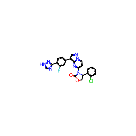 O=C1OCC(c2ccccc2Cl)N1c1ccn2ncc(-c3ccc(-c4nc[nH]n4)c(F)c3)c2n1